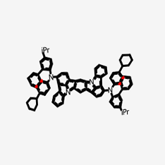 CC(C)c1ccc(N(c2ccc(C3CCCCC3)cc2)c2ccc3c4cc5c(cc4n4c6ccccc6c2c34)c2ccc(N(c3ccc(C4CCCCC4)cc3)c3ccc(C(C)C)cc3-c3ccccc3)c3c4ccccc4n5c23)c(-c2ccccc2)c1